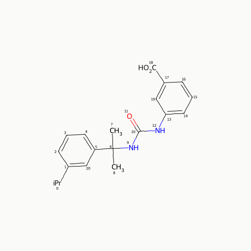 CC(C)c1cccc(C(C)(C)NC(=O)Nc2cccc(C(=O)O)c2)c1